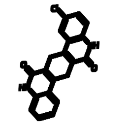 O=c1[nH]c2ccccc2c2c1Cc1c(c(=O)[nH]c3ccc(Cl)cc13)C2